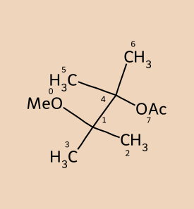 COC(C)(C)C(C)(C)OC(C)=O